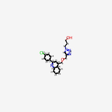 OCCCn1cc(COCc2cc(-c3ccc(Cl)cc3)nc3ccccc23)nn1